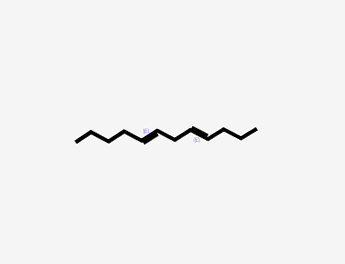 CCC/C=C/C/C=C/CCCC